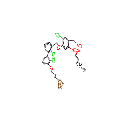 CCCOc1cc(OCc2cccc(-c3cccc(OCCCBr)c3Cl)c2Cl)c(Cl)cc1C=O